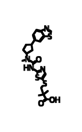 CN(C(=O)Nc1ncc(SCC(C)(C)C(=O)O)s1)C1CCC(c2ccc3ncsc3c2)C1